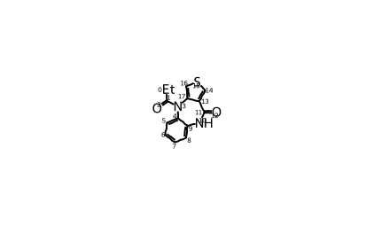 CCC(=O)N1c2ccccc2NC(=O)c2cscc21